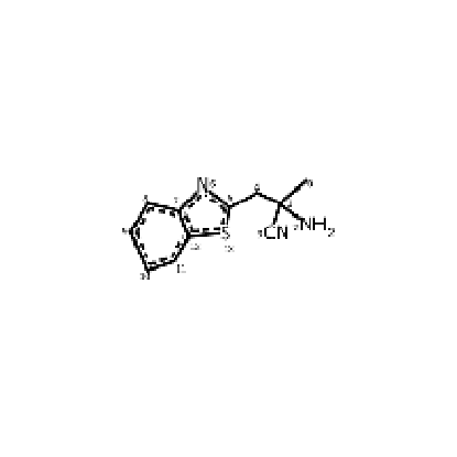 CC(N)(C#N)Cc1nc2ccccc2s1